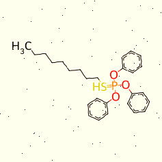 CCCCCCCCC[SH]=P(Oc1ccccc1)(Oc1ccccc1)Oc1ccccc1